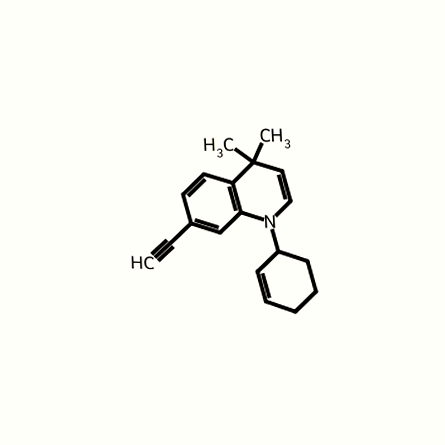 C#Cc1ccc2c(c1)N(C1C=CCCC1)C=CC2(C)C